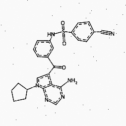 N#Cc1ccc(S(=O)(=O)Nc2cccc(C(=O)c3cn(C4CCCC4)c4ncnc(N)c34)c2)cc1